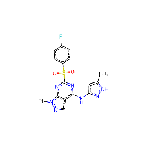 CCn1ncc2c(Nc3cc(C)[nH]n3)nc(S(=O)(=O)c3ccc(F)cc3)nc21